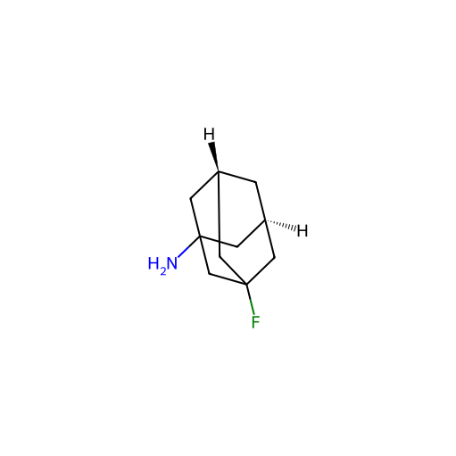 NC12C[C@H]3C[C@@H](C1)CC(F)(C3)C2